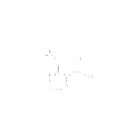 CC(O)c1cccnc1CC(F)F